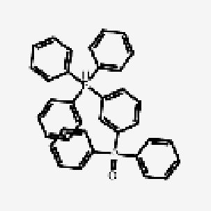 O=P(c1ccccc1)(c1ccccc1)c1cccc([PH](c2ccccc2)(c2ccccc2)c2ccccc2)c1